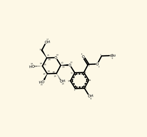 CC(C)(C)COC(=O)c1cc(O)ccc1O[C@@H]1O[C@H](CO)[C@@H](O)[C@H](O)[C@H]1O